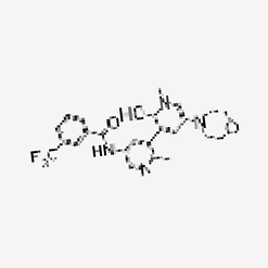 Cc1ncc(NC(=O)c2cccc(C(F)(F)F)c2)cc1C1=CC(N2CCOCC2)=CN(C)C1O